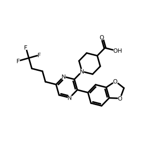 O=C(O)C1CCN(c2nc(CCCC(F)(F)F)cnc2-c2ccc3c(c2)OCO3)CC1